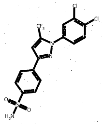 NS(=O)(=O)c1ccc(-c2cc(C(F)(F)F)n(-c3ccc(Cl)c(Cl)c3)n2)cc1